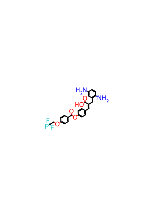 Nc1ccc(N)c(CC(=Cc2ccc(OC(=O)c3ccc(OCC(F)(F)F)cc3)cc2)C(=O)O)c1